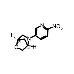 O=[N+]([O-])c1ccc(N2C[C@H]3C[C@H]2CO3)cn1